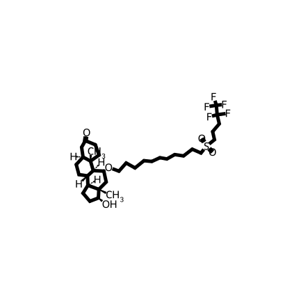 C[C@]12CCC(=O)C[C@@H]1CC[C@@H]1[C@@H]2[C@@H](OCCCCCCCCCCCS(=O)(=O)CCCC(F)(F)C(F)(F)F)C[C@]2(C)[C@@H](O)CC[C@@H]12